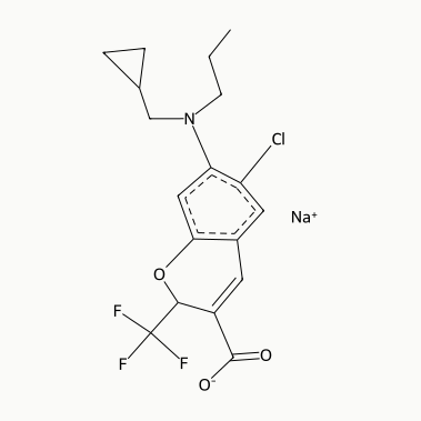 CCCN(CC1CC1)c1cc2c(cc1Cl)C=C(C(=O)[O-])C(C(F)(F)F)O2.[Na+]